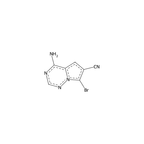 N#Cc1cc2c(N)ncnn2c1Br